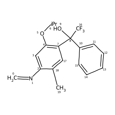 C=Nc1cc(OC(C)C)c(C(O)(c2ccccc2)C(F)(F)F)cc1C